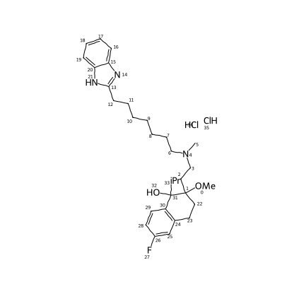 COC1(CCN(C)CCCCCCCc2nc3ccccc3[nH]2)CCc2cc(F)ccc2C1(O)C(C)C.Cl.Cl